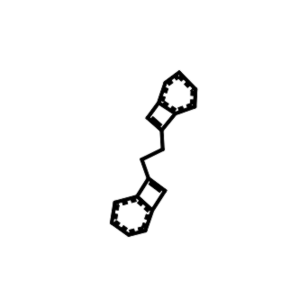 C1=C(CCC2=Cc3ccccc32)c2ccccc21